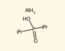 CC(C)P(=O)(O)C(C)C.[AlH3]